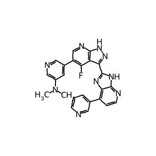 CN(C)c1cncc(-c2cnc3[nH]nc(-c4nc5c(-c6cccnc6)ccnc5[nH]4)c3c2F)c1